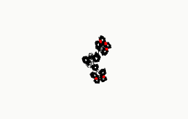 c1ccc([Si]2(c3ccccc3)c3ccccc3N(c3ccc4c(c3)Oc3cccc5c3B4c3ccc(N4c6ccccc6[Si](c6ccccc6)(c6ccccc6)c6ccccc64)cc3O5)c3ccccc32)cc1